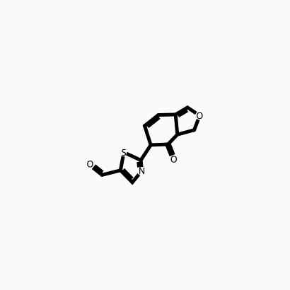 O=Cc1cnc(C2C=CC3=COCC3C2=O)s1